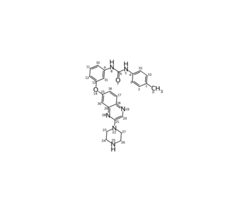 Cc1ccc(NC(=O)Nc2cccc(Oc3ccc4ncc(N5CCNCC5)nc4c3)c2)cc1